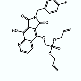 C=CCOP(=O)(COc1c2c(c(O)c3ncccc13)C(=O)N(Cc1ccc(F)cc1)C2=O)OCC=C